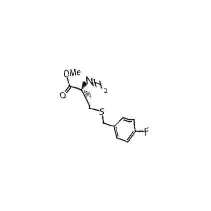 COC(=O)[C@@H](N)CSCc1ccc(F)cc1